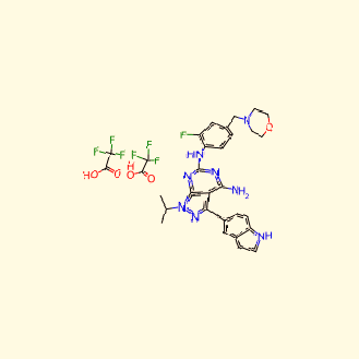 CC(C)n1nc(-c2ccc3[nH]ccc3c2)c2c(N)nc(Nc3ccc(CN4CCOCC4)cc3F)nc21.O=C(O)C(F)(F)F.O=C(O)C(F)(F)F